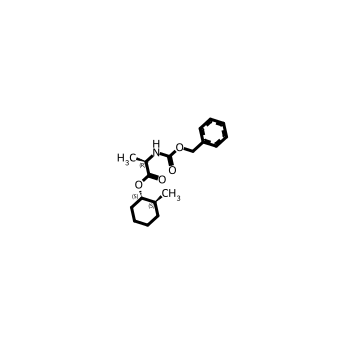 C[C@@H](NC(=O)OCc1ccccc1)C(=O)O[C@H]1CCCC[C@@H]1C